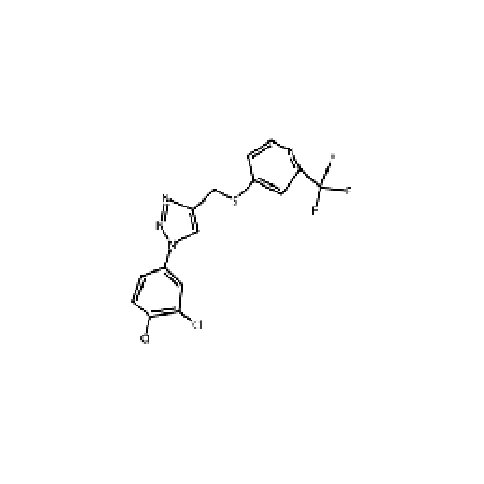 FC(F)(F)c1cc(SCc2cn(-c3ccc(Cl)c(Cl)c3)nn2)ccn1